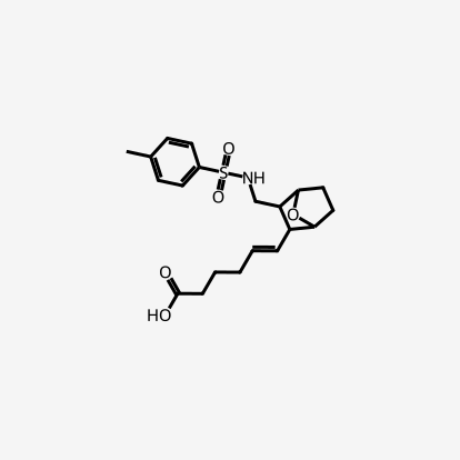 Cc1ccc(S(=O)(=O)NCC2C3CCC(O3)C2/C=C/CCCC(=O)O)cc1